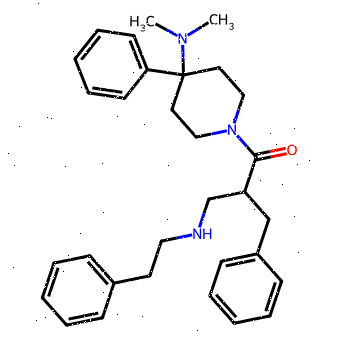 CN(C)C1(c2ccccc2)CCN(C(=O)C(CNCCc2ccccc2)Cc2ccccc2)CC1